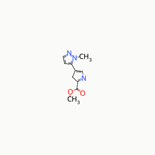 COC(=O)C1=NC=C(c2ccnn2C)C1